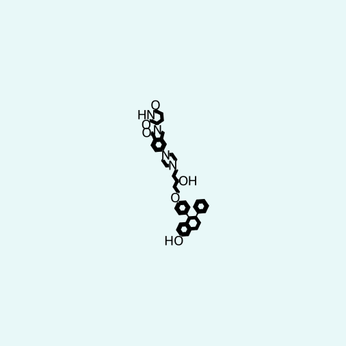 O=C1CCC(N2Cc3cc(N4CCN(CCC(O)CCOc5ccc([C@@H]6c7ccc(O)cc7CC[C@@H]6c6ccccc6)cc5)CC4)ccc3C2=O)C(=O)N1